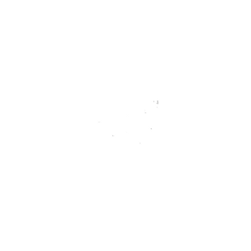 Cc1ccc2c(N)noc2c1I